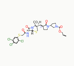 C=CCOC(=O)N1CCC(N2CC/C(=C\C3=C(C(=O)O)N4C(=O)[C@@H](NC(=O)CSc5cc(Cl)c(Cl)cc5Cl)[C@H]4SC3)C2=O)C1